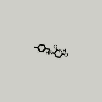 Cc1ccc(CNC2CCC(=O)NC2=O)cc1